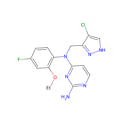 CCOc1cc(F)ccc1N(Cc1n[nH]cc1Cl)c1ccnc(N)n1